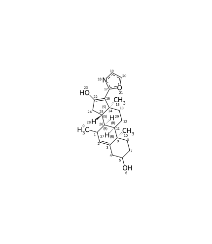 CC1C=C2CC(O)CC[C@]2(C)[C@@H]2CC[C@]3(C)C(c4ncco4)=C(O)C[C@H]3[C@H]12